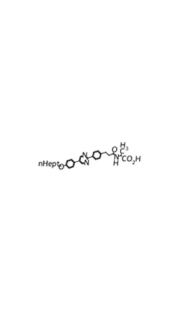 CCCCCCCOc1ccc(-c2cnc(-c3ccc(CCC(=O)NC(C)C(=O)O)cc3)nc2)cc1